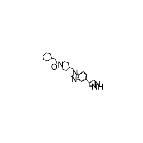 O=C(CC1CCCCC1)N1CCC(Cn2cnc3cc(-c4cn[nH]c4)ccc32)CC1